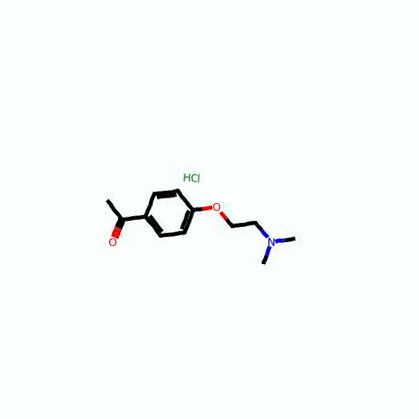 CC(=O)c1ccc(OCCN(C)C)cc1.Cl